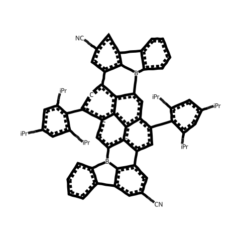 CC(C)c1cc(C(C)C)c(-c2cc3c4c(cc5c(-c6c(C(C)C)cc(C(C)C)cc6C(C)C)cc6c7c(cc2c4c57)B2c4ccccc4-c4cc(C#N)cc-6c42)B2c4ccccc4-c4cc(C#N)cc-3c42)c(C(C)C)c1